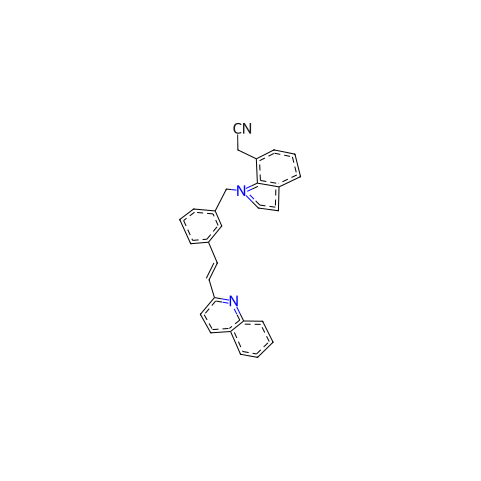 N#CCc1cccc2ccn(Cc3cccc(C=Cc4ccc5ccccc5n4)c3)c12